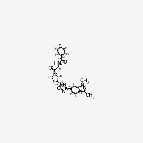 Cc1nn(C)c2cc(-c3noc(C4CCN(C(=O)CNC(=O)c5ccccc5)C4)n3)ccc12